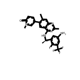 Cc1nc(N[C@H](C)c2cc(N)cc(C(F)(F)F)c2F)c2cc(-c3ccc(=O)n(C)c3)c(C)cc2n1